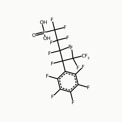 O=P(O)(O)C(F)(F)C(F)(F)C(F)(F)C(F)(c1c(F)c(F)c(F)c(F)c1F)C(F)(F)C(F)(F)F